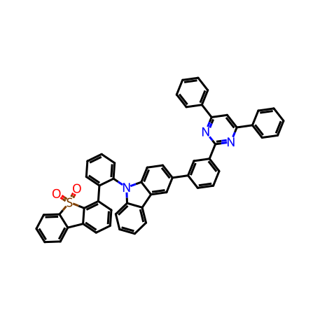 O=S1(=O)c2ccccc2-c2cccc(-c3ccccc3-n3c4ccccc4c4cc(-c5cccc(-c6nc(-c7ccccc7)cc(-c7ccccc7)n6)c5)ccc43)c21